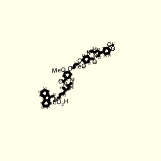 COc1cc2c(cc1OCCCOc1cc3c(cc1OC)C(=O)N1C=C(c4ccc5c(c4)OCO5)C[C@H]1C=N3)N=C[C@@H]1CC(C=CCN(CC3c4ccccc4-c4ccccc43)C(=O)O)=CN1C2=O